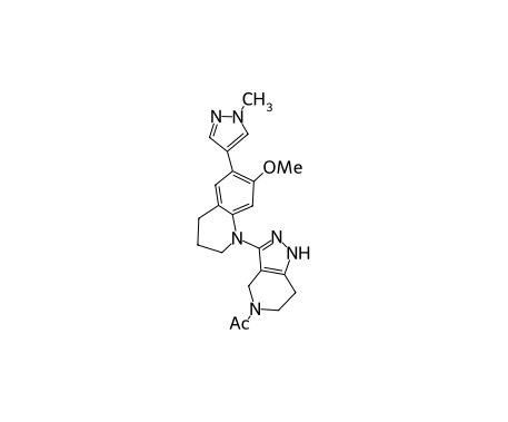 COc1cc2c(cc1-c1cnn(C)c1)CCCN2c1n[nH]c2c1CN(C(C)=O)CC2